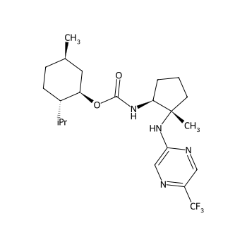 CC(C)[C@@H]1CC[C@@H](C)C[C@H]1OC(=O)N[C@H]1CCC[C@]1(C)Nc1cnc(C(F)(F)F)cn1